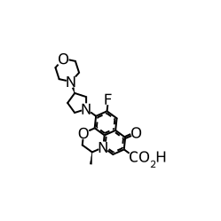 C[C@H]1COc2c(N3CC[C@@H](N4CCOCC4)C3)c(F)cc3c(=O)c(C(=O)O)cn1c23